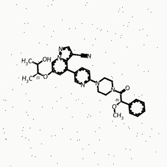 CO[C@@H](C(=O)N1CCN(c2ccc(-c3cc(O[C@@H](C)C(C)O)cn4ncc(C#N)c34)cn2)CC1)c1ccccc1